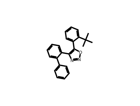 CC(C)(C)c1ccccc1-c1onnc1-c1ccccc1-c1ccccc1